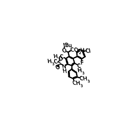 Cc1ccc(-c2c(C)c(-c3ccc(Cl)cc3F)c(C(OC(C)(C)C)C(=O)O)c(C)c2NS(C)(=O)=O)cc1C